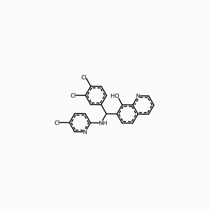 Oc1c(C(Nc2ccc(Cl)cn2)c2ccc(Cl)c(Cl)c2)ccc2cccnc12